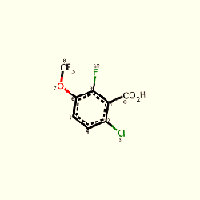 O=C(O)c1c(Cl)ccc(OC(F)(F)F)c1F